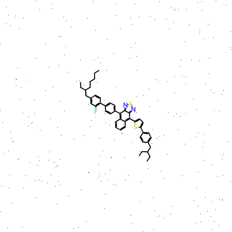 CCCCCC(CC)Cc1ccc(-c2ccc(-c3c4ccccc4c(-c4ccc(-c5ccc(CC(CC)CC)cc5)s4)c4nsnc34)cc2)c(F)c1